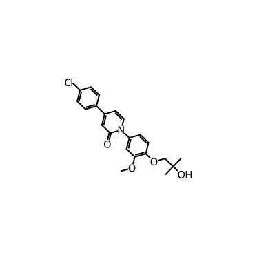 COc1cc(-n2ccc(-c3ccc(Cl)cc3)cc2=O)ccc1OCC(C)(C)O